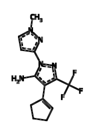 Cn1ccc(-n2nc(C(F)(F)F)c(C3=CCCC3)c2N)n1